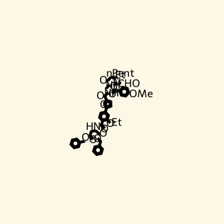 CCCCCC(C(=O)NCNC(=O)c1ccc(-c2ccc(C(=O)NC(CC(=O)OCc3ccccc3)C(=O)OCc3ccccc3)c(OCC)c2)o1)[C@@H](CC)N(C=O)OC(=O)c1ccc(OC)cc1